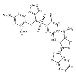 COc1ccc(CN(c2cscn2)S(=O)(=O)c2cc(Cl)c(N(C)[C@H]3CCN([C@@H]4CCc5ccccc54)C3)cc2F)c(OC)c1